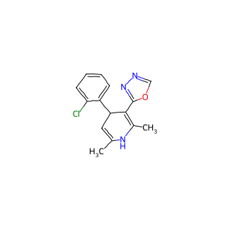 CC1=CC(c2ccccc2Cl)C(c2nnco2)=C(C)N1